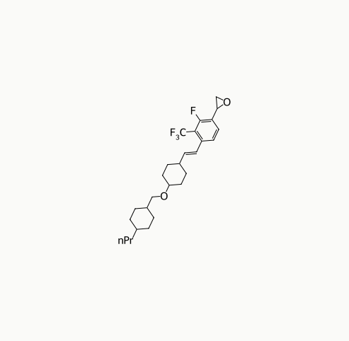 CCCC1CCC(COC2CCC(/C=C/c3ccc(C4CO4)c(F)c3C(F)(F)F)CC2)CC1